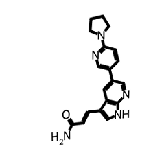 NC(=O)C=Cc1c[nH]c2ncc(-c3ccc(N4CCCC4)nc3)cc12